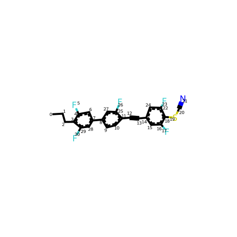 CCCc1c(F)cc(-c2ccc(C#Cc3cc(F)c(SC#N)c(F)c3)c(F)c2)cc1F